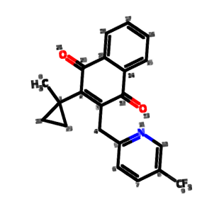 CC1(C2=C(Cc3ccc(C(F)(F)F)cn3)C(=O)c3ccccc3C2=O)CC1